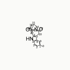 Cc1ccc2[nH]c3c(c2c1)CC(=O)N1CC2CC(=O)C1C3C2